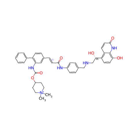 C[N+]1(C)CCC(OC(=O)Nc2cc(/C=C/C(=O)Nc3ccc(CNC[C@H](O)c4ccc(O)c5[nH]c(=O)ccc45)cc3)ccc2-c2ccccc2)CC1